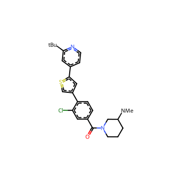 CNC1CCCN(C(=O)c2ccc(-c3csc(-c4ccnc(C(C)(C)C)c4)c3)c(Cl)c2)C1